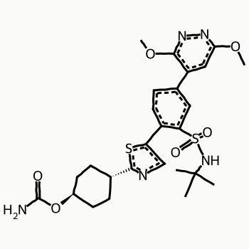 COc1cc(-c2ccc(-c3cnc([C@H]4CC[C@H](OC(N)=O)CC4)s3)c(S(=O)(=O)NC(C)(C)C)c2)c(OC)nn1